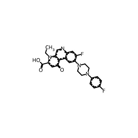 CCn1c(C(=O)O)cc(=O)c2c3cc(N4CCN(c5ccc(F)cc5)CC4)c(F)cc3ncc21